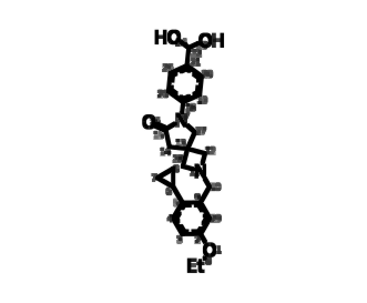 CCOc1ccc(C2CC2)c(CN2CC3(CC(=O)N(c4ccc(C(O)O)cc4)C3)C2)c1